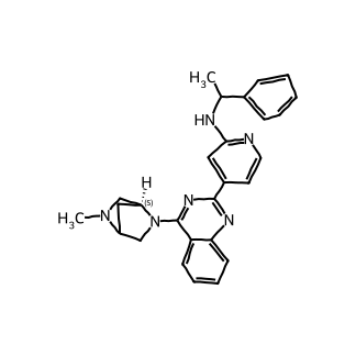 CC(Nc1cc(-c2nc(N3CC4C[C@H]3CN4C)c3ccccc3n2)ccn1)c1ccccc1